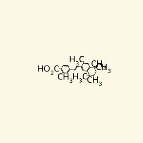 Cc1cc2c(cc1C=Cc1ccc(C(=O)O)c(C)c1)C(C)(C)CCC2(C)C